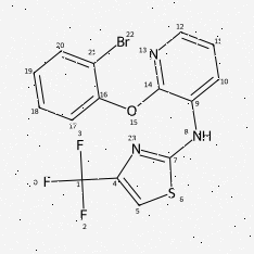 FC(F)(F)c1csc(Nc2cccnc2Oc2ccccc2Br)n1